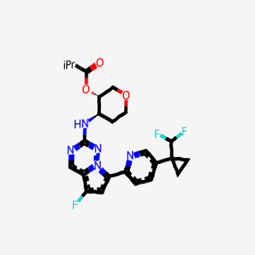 CC(C)C(=O)O[C@@H]1COCC[C@H]1Nc1ncc2c(F)cc(-c3ccc(C4(C(F)F)CC4)cn3)n2n1